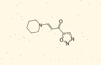 O=C(C=CN1CCCCC1)c1cnno1